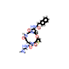 CN(C)CCNC(=O)[C@@H]1CCC(=O)N(C)CC(=O)N2C[C@H](NC(=O)Cc3ccc4ccccc4c3)C[C@H]2COc2ccsc2C(=O)N1C